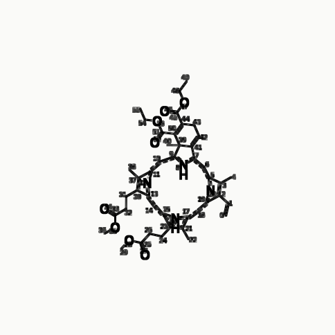 C=CC1=C(C)c2cc3[nH]c(cc4nc(cc5[nH]c(cc1n2)c(C)c5CCC(=O)OC)C(CCC(=O)OC)=C4C)C1(C)C3=CCC(C(=O)OCC)=C1C(=O)OCC